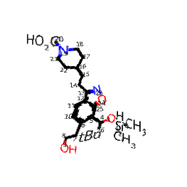 C[SiH](C)OC(c1c(CCO)ccc2c(CCC3CCN(C(=O)O)CC3)noc12)C(C)(C)C